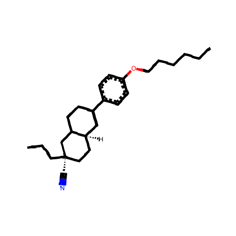 CCCCCCOc1ccc(C2CCC3C[C@](C#N)(CCC)CC[C@@H]3C2)cc1